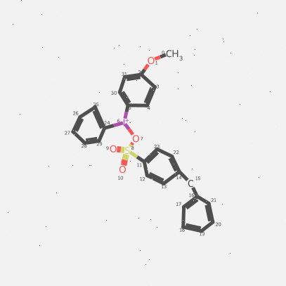 COc1ccc([I+](OS(=O)(=O)c2ccc(Cc3ccccc3)cc2)c2ccccc2)cc1